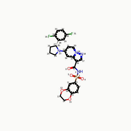 O=C(NS(=O)(=O)c1ccc2c(c1)OCCO2)c1cnn2ccc(N3CCC[C@@H]3c3cc(F)ccc3F)cc12